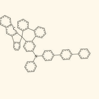 c1ccc(-c2ccc(-c3ccc(N(c4ccccc4)c4ccc5c(c4)-c4ccccc4-c4ccccc4C54c5ccccc5-c5cc6ccccc6cc54)cc3)cc2)cc1